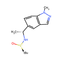 C[C@@H](N[S@+]([O-])C(C)(C)C)c1ccc2c(cnn2C)c1